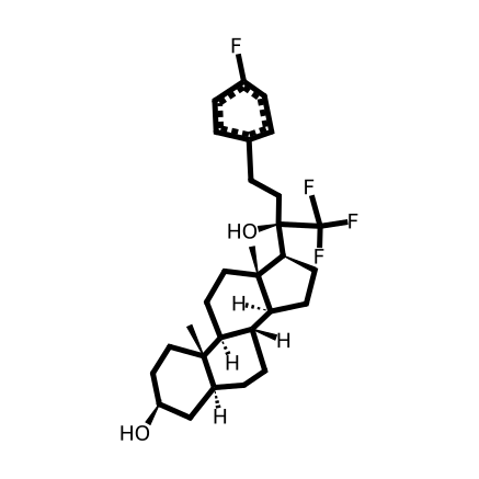 C[C@]12CC[C@H](O)C[C@@H]1CC[C@@H]1[C@@H]2CC[C@@]2(C)[C@H]1CC[C@@H]2[C@](O)(CCc1ccc(F)cc1)C(F)(F)F